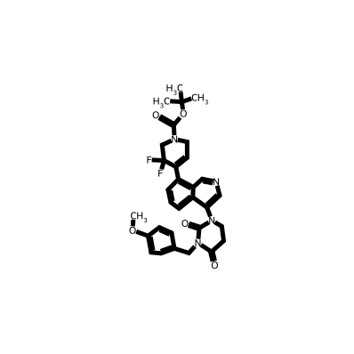 COc1ccc(CN2C(=O)CCN(c3cncc4c(C5=CCN(C(=O)OC(C)(C)C)CC5(F)F)cccc34)C2=O)cc1